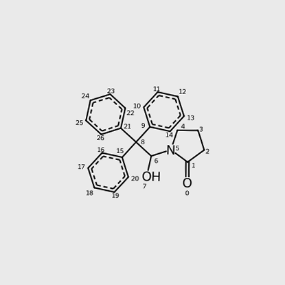 O=C1CCCN1C(O)C(c1ccccc1)(c1ccccc1)c1ccccc1